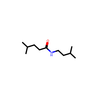 CC(C)CCNC(=O)CCC(C)C